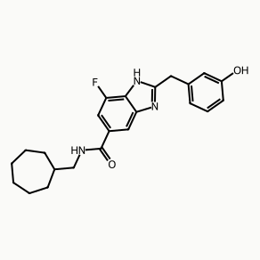 O=C(NCC1CCCCCC1)c1cc(F)c2[nH]c(Cc3cccc(O)c3)nc2c1